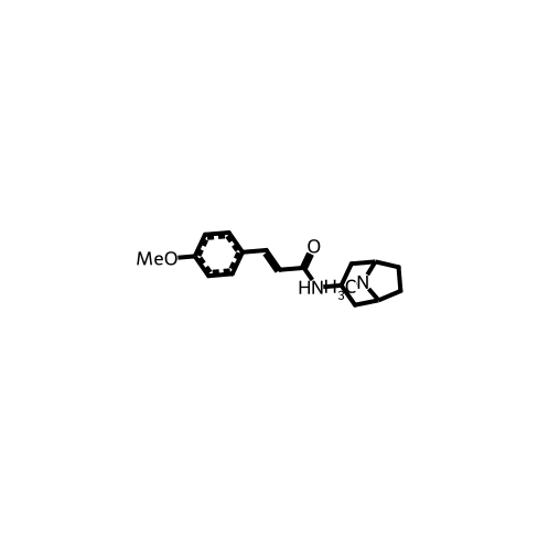 COc1ccc(C=CC(=O)NC2CC3CCC(C2)N3C)cc1